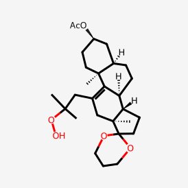 CC(=O)O[C@@H]1CC[C@]2(C)C3=C(CC(C)(C)OO)C[C@@]4(C)[C@@H](CCC45OCCCO5)[C@@H]3CC[C@@H]2C1